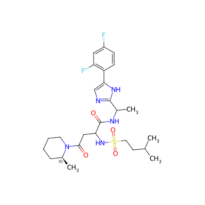 CC(C)CCS(=O)(=O)NC(CC(=O)N1CCCC[C@@H]1C)C(=O)NC(C)c1ncc(-c2ccc(F)cc2F)[nH]1